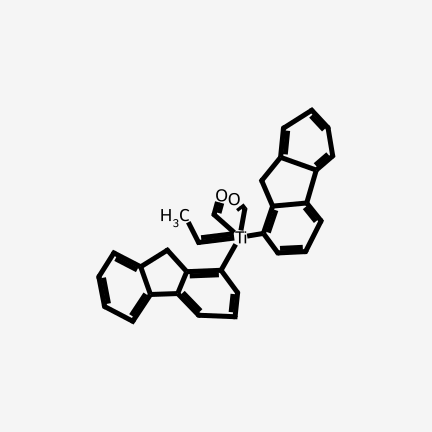 C[CH]=[Ti]([CH]=O)([CH]=O)([c]1cccc2c1Cc1ccccc1-2)[c]1cccc2c1Cc1ccccc1-2